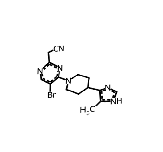 Cc1[nH]cnc1C1CCN(c2nc(CC#N)ncc2Br)CC1